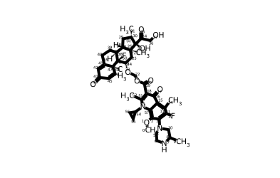 COc1c(N2CCNC(C)C2)c(F)c(C)c2c(=O)c(C(=O)OCO[C@H]3C[C@@]4(C)[C@@H](C[C@H](C)[C@]4(O)C(=O)CO)[C@@H]4CCC5=CC(=O)C=C[C@]5(C)[C@@]34F)c(C)n(C3CC3)c12